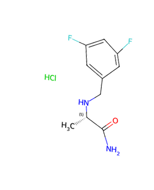 C[C@H](NCc1cc(F)cc(F)c1)C(N)=O.Cl